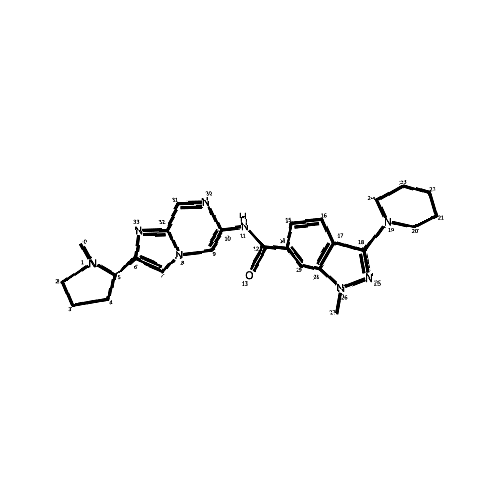 CN1CCC[C@@H]1c1cn2cc(NC(=O)c3ccc4c(N5CCCCC5)nn(C)c4c3)ncc2n1